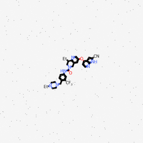 CCC1CN(C(=O)Nc2ccc(CN3CCN(CC)CC3)c(C(F)(F)F)c2)Cc2cc(Oc3ccnc4[nH]c(C#N)cc34)cnc21